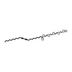 CCCCCCCCCCC#CC#CCCCCCCCCC(=O)OCCOCCOCCOCCO